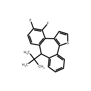 CC(C)(C)C1c2ccccc2-c2sccc2-c2c1ccc(F)c2F